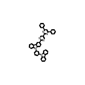 c1ccc(-c2cc(-c3ccccc3)nc(-c3cnc(-c4ccc5c(c4)c4ccccc4n5-c4cccc(-n5c6ccccc6c6ccccc65)c4)nc3)n2)cc1